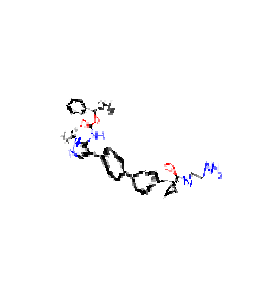 C[C@@H](OC(=O)Nc1c(-c2ccc(-c3ccc(C4(C(=O)NCCN)CC4)cc3)cc2)cnn1C)c1ccccc1